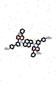 CC(C)(C)c1ccc(-c2cc(F)c(N(c3ccc(-c4ccccc4)cc3)c3ccc4ccc5c(N(c6ccc(-c7ccccc7)cc6)c6c(F)cc(-c7ccc(C(C)(C)C)cc7)cc6-c6ccc(C(C)(C)C)cc6)ccc6ccc3c4c65)c(-c3ccc(C(C)(C)C)cc3)c2)cc1